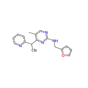 Cc1cnc(NCc2ccco2)nc1C(C#N)c1ccccn1